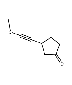 O=C1CCC(C#CSI)C1